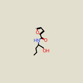 CCCC(CO)NC(=O)c1cc[c]o1